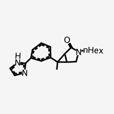 CCCCCCN1CC2C(C1=O)C2(C)c1cccc(-c2ncc[nH]2)c1